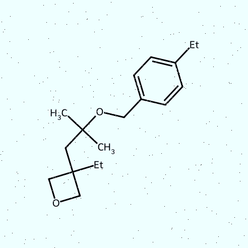 CCc1ccc(COC(C)(C)CC2(CC)COC2)cc1